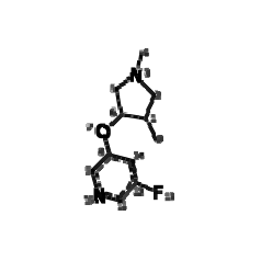 CC1CN(C)CC1Oc1cncc(F)c1